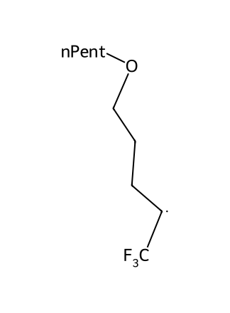 CCCCCOCCC[CH]C(F)(F)F